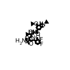 C[C@]1(C(N)=O)COc2c1cc(C(O)(CNC(=O)c1cc(OC3CC3)c3nn(C4CC4)cc3c1)C1CC1)nc2-c1ccc(F)c(F)c1Cl